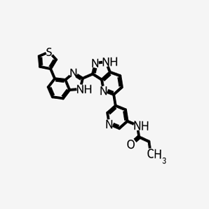 CCC(=O)Nc1cncc(-c2ccc3[nH]nc(-c4nc5c(-c6ccsc6)cccc5[nH]4)c3n2)c1